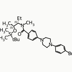 CC[C@@H]([C@H](C)O[Si](C)(C)C(C)(C)C)N(C)C(=O)c1ccc(N2CCN(c3ccc(Br)cc3)CC2)cc1